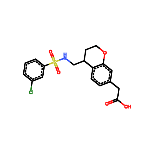 O=C(O)Cc1ccc2c(c1)OCCC2CNS(=O)(=O)c1cccc(Cl)c1